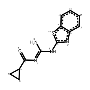 N/C(=N\C(=O)C1CC1)Nc1nc2ccccc2s1